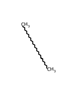 CCCCCCC=CCCCCCCCCCCCCCCCCCCC